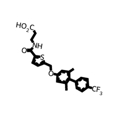 Cc1cc(OCc2ccc(C(=O)NCCC(=O)O)s2)cc(C)c1-c1ccc(C(F)(F)F)cc1